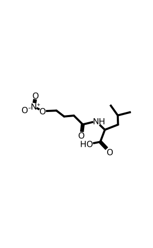 CC(C)CC(NC(=O)CCCO[N+](=O)[O-])C(=O)O